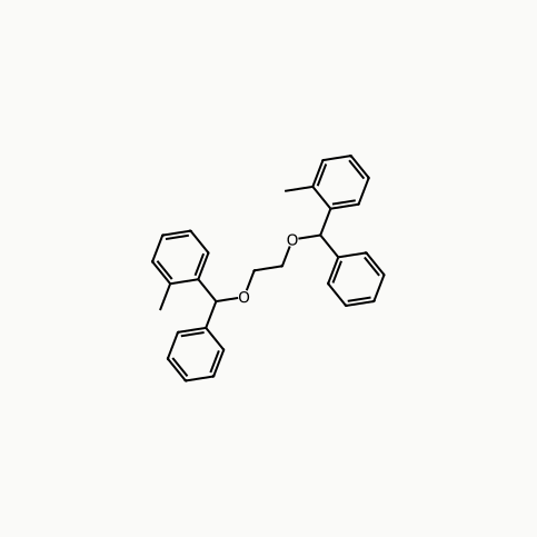 Cc1ccccc1C(OCCOC(c1ccccc1)c1ccccc1C)c1ccccc1